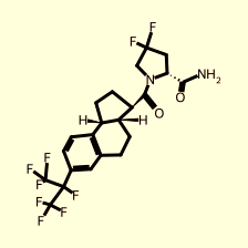 NC(=O)[C@H]1CC(F)(F)CN1C(=O)[C@@H]1CC[C@H]2c3ccc(C(F)(C(F)(F)F)C(F)(F)F)cc3CC[C@@H]12